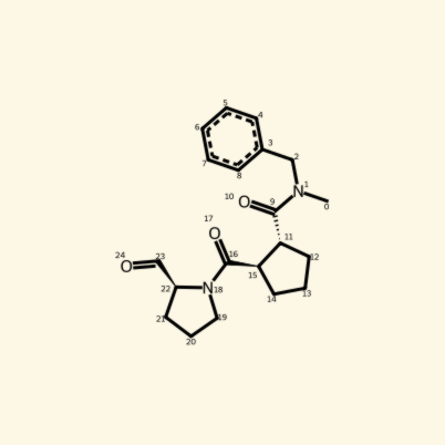 CN(Cc1ccccc1)C(=O)[C@@H]1CCC[C@H]1C(=O)N1CCC[C@H]1C=O